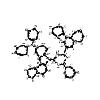 c1ccc(-c2nc(-c3cc4ccccc4c4c3oc3ccccc34)nc(-n3c4ccc(N(c5ccccc5)c5ccccc5)cc4c4c5ccccc5ccc43)n2)cc1